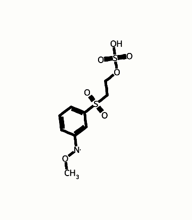 CO[N]c1cccc(S(=O)(=O)CCOS(=O)(=O)O)c1